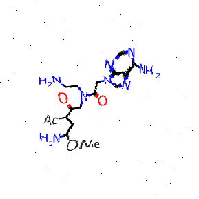 COC(N)CC(C(C)=O)C(=O)CN(CCN)C(=O)Cn1cnc2c(N)ncnc21